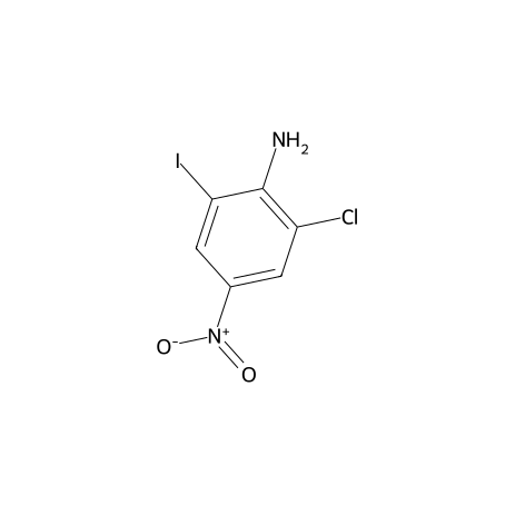 Nc1c(Cl)cc([N+](=O)[O-])cc1I